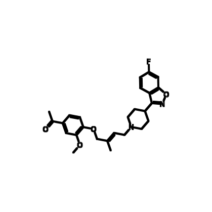 COc1cc(C(C)=O)ccc1OC/C(C)=C/CN1CCC(c2noc3cc(F)ccc23)CC1